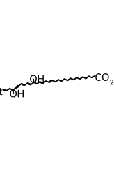 CC/C=C/CC(O)C#C/C=C/C=C/C(O)C/C=C/C/C=C/CCCCCCCCCCCCCCC(=O)O